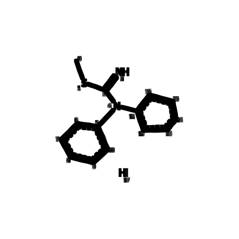 CSC(=N)N(c1ccccc1)c1ccccc1.I